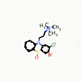 C[N+](C)(C)CCCN1c2ccccc2[S+]([O-])c2ccc(Cl)cc21.[Br-]